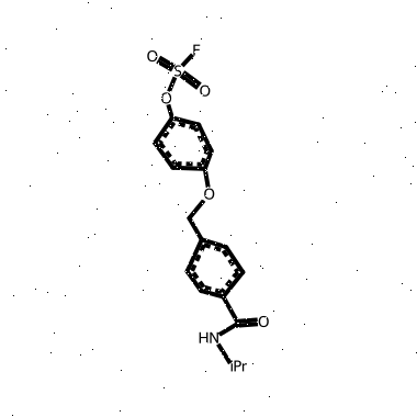 CC(C)NC(=O)c1ccc(COc2ccc(OS(=O)(=O)F)cc2)cc1